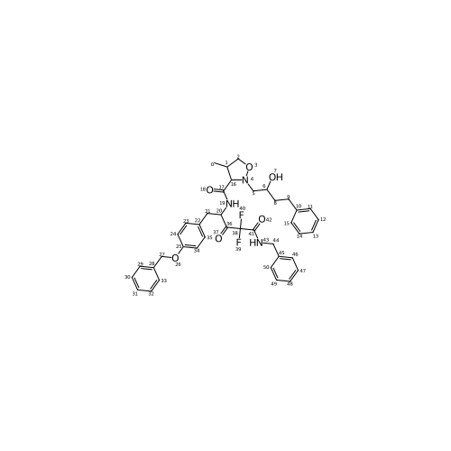 CC1CON(CC(O)CCc2ccccc2)C1C(=O)NC(Cc1ccc(OCc2ccccc2)cc1)C(=O)C(F)(F)C(=O)NCc1ccccc1